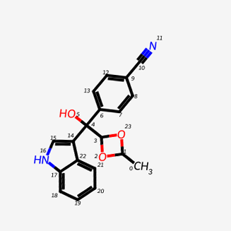 CC1OC(C(O)(c2ccc(C#N)cc2)c2c[nH]c3ccccc23)O1